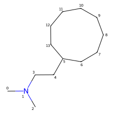 CN(C)CCC1CCCCCCCC1